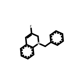 FC1=Cc2ccccc2N(Cc2ccccc2)C1